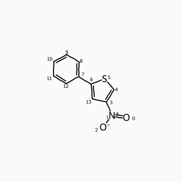 O=[N+]([O-])c1csc(-c2ccccc2)c1